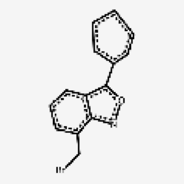 BrCc1cccc2c(-c3ccccc3)onc12